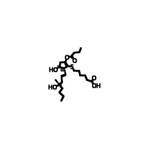 CCCC[C@](C)(O)CC=C[C@@H]1C(SCCCCCC(=O)O)=C(OC(=O)CCC)C[C@H]1O